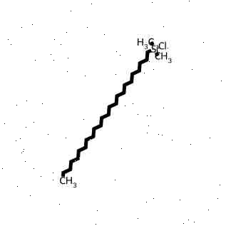 CCCCCCCCCCCCCCCCCCCCCCCC[Si](C)(C)Cl